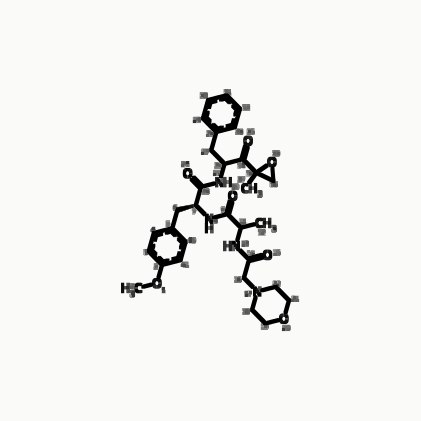 COc1ccc(C[C@H](NC(=O)C(C)NC(=O)CN2CCOCC2)C(=O)NC(Cc2ccccc2)C(=O)C2(C)CO2)cc1